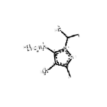 Cc1nn(C(C)O)c(N)c1N.Cl.Cl